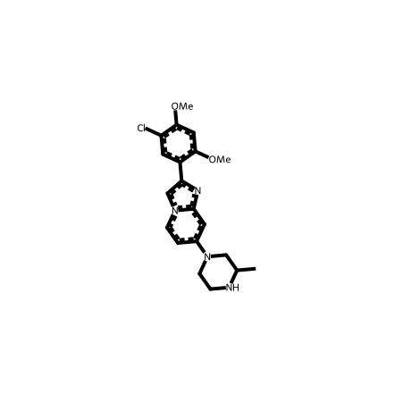 COc1cc(OC)c(-c2cn3ccc(N4CCNC(C)C4)cc3n2)cc1Cl